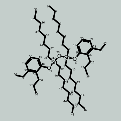 CCCCCCC[CH2][Sn]([CH2]CCCCCCC)([O]c1cccc(CC)c1CCC)[O][Sn]([CH2]CCCCCCC)([CH2]CCCCCCC)[O]c1cccc(CC)c1CCC